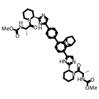 COC(=O)N[C@@H](C)C(=O)N1CCCC[C@H]1c1ncc(-c2ccc(-c3ccc(-c4cnc([C@@H]5CCCCN5C(=O)[C@H](C)NC(=O)OC)[nH]4)c4c3C3CCC4O3)cc2)[nH]1